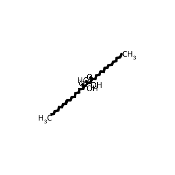 CCCCCCCCC=CCCCCCCCC(=O)C(O)C(O)C(O)C(=O)CCCCCCCCCCCCCCC